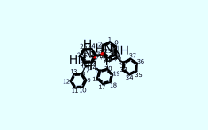 c1ccc([C@H]2NN[C@H](c3ccccc3)P2c2ccccc2[P@@]2[C@@H](c3ccccc3)NN[C@H]2c2ccccc2)cc1